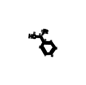 [CH2]C[C@@H](O)c1ccccc1